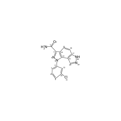 NC(=O)c1nn(-c2cccc(Cl)c2)c2c1ccc1[nH]ncc12